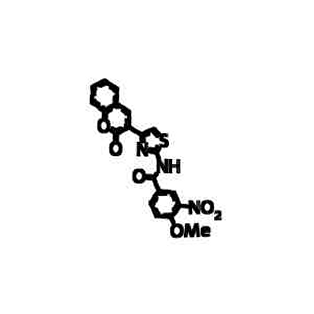 COc1ccc(C(=O)Nc2nc(-c3cc4ccccc4oc3=O)cs2)cc1[N+](=O)[O-]